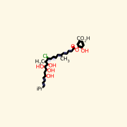 CC(/C=C/C=C/C(=O)Oc1cc(C(=O)O)ccc1O)=C\C=C\C=C(/Cl)C(C)C(O)C(O)C(O)CC(O)/C=C/C=C/C(C)C